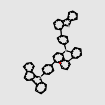 c1ccc(-c2ccccc2N(c2ccc(-c3ccc(-n4c5ccccc5c5ccc6ccccc6c54)cc3)cc2)c2ccc(-c3cccc4c3oc3ccccc34)cc2)cc1